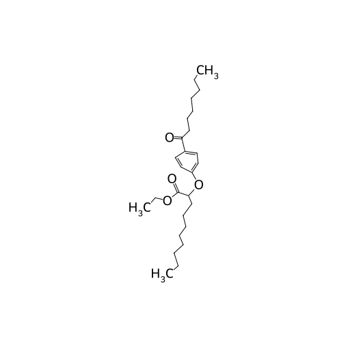 CCCCCCCCC(Oc1ccc(C(=O)CCCCCCC)cc1)C(=O)OCC